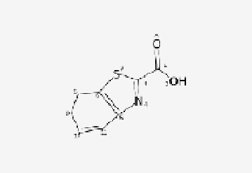 O=C(O)c1nc2c(s1)CCC=C2